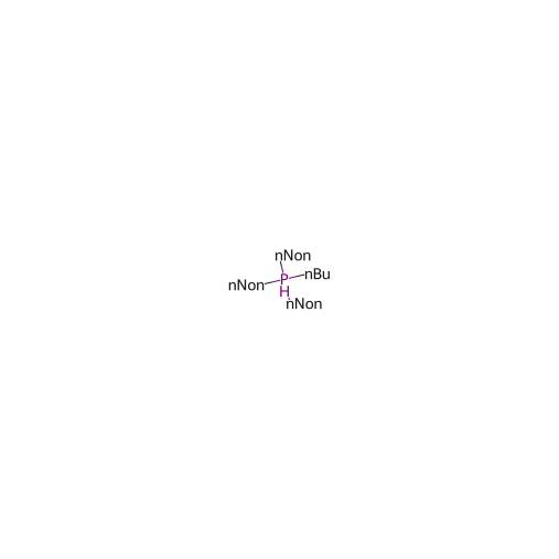 CCCCCCCCC[PH](CCCC)(CCCCCCCCC)CCCCCCCCC